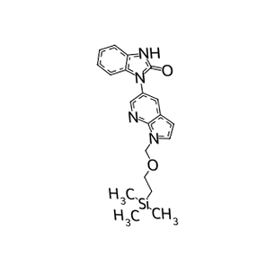 C[Si](C)(C)CCOCn1ccc2cc(-n3c(=O)[nH]c4ccccc43)cnc21